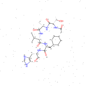 CC(=O)N[C@@H](CO)C(=O)N[C@@H](C)C(=O)N[C@H](C(=O)N[C@@H](CC1CCCCC1)C(=O)N[C@H](C=O)Cc1c[nH]cn1)C(C)C